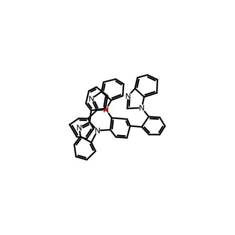 c1ccc(-c2nc3ccccc3n2-c2ccc(-c3ccccc3-n3cnc4ccccc43)cc2-n2c(-c3ccccc3)nc3ccccc32)cc1